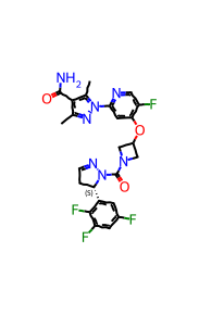 Cc1nn(-c2cc(OC3CN(C(=O)N4N=CC[C@H]4c4cc(F)cc(F)c4F)C3)c(F)cn2)c(C)c1C(N)=O